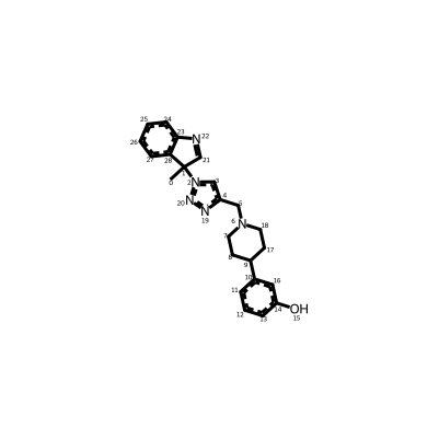 CC1(n2cc(CN3CCC(c4cccc(O)c4)CC3)nn2)C=Nc2ccccc21